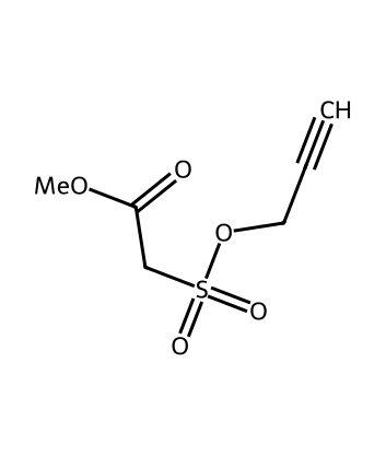 C#CCOS(=O)(=O)CC(=O)OC